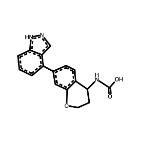 O=C(O)NC1CCOc2cc(-c3cccc4[nH]ncc34)ccc21